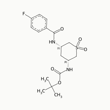 CC(C)(C)OC(=O)N[C@@H]1C[C@H](NC(=O)c2ccc(F)cc2)CS(=O)(=O)C1